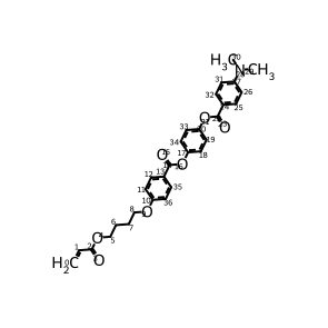 C=CC(=O)OCCCCOc1ccc(C(=O)Oc2ccc(OC(=O)c3ccc(N(C)C)cc3)cc2)cc1